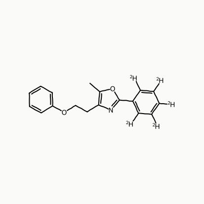 [2H]c1c([2H])c([2H])c(-c2nc(CCOc3ccccc3)c(C)o2)c([2H])c1[2H]